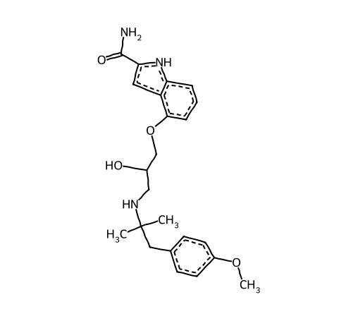 COc1ccc(CC(C)(C)NCC(O)COc2cccc3[nH]c(C(N)=O)cc23)cc1